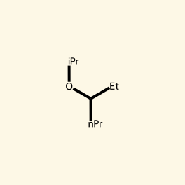 CCCC(CC)OC(C)C